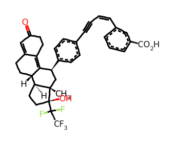 C[C@]12C[C@H](c3ccc(C#C/C=C\c4cccc(C(=O)O)c4)cc3)C3=C4CCC(=O)C=C4CC[C@H]3[C@@H]1CC[C@@]2(O)C(F)(F)C(F)(F)F